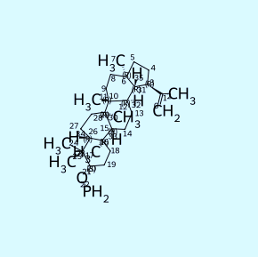 C=C(C)[C@@H]1CC[C@]2(C)CC[C@]3(C)[C@H](CC[C@@H]4[C@@]5(C)CC[C@H](OP)C(C)(C)[C@@H]5CC[C@]43C)[C@@H]12